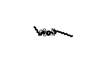 CCCCCCCCCCCc1cnc(-c2ccc(OC(=O)c3ccc(CCCCC)o3)cc2)nc1